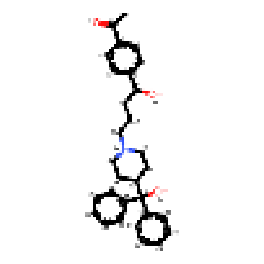 CC(=O)c1ccc(C(O)CCCN2CCC(C(O)(c3ccccc3)c3ccccc3)CC2)cc1